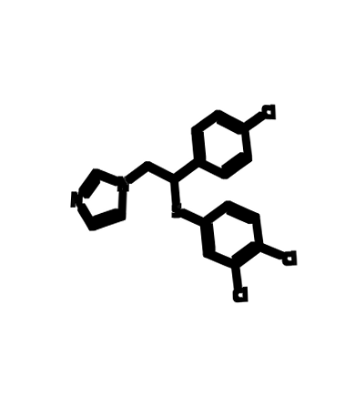 Clc1ccc(C(Cn2ccnc2)Sc2ccc(Cl)c(Cl)c2)cc1